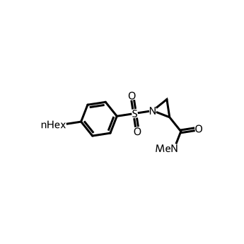 CCCCCCc1ccc(S(=O)(=O)N2CC2C(=O)NC)cc1